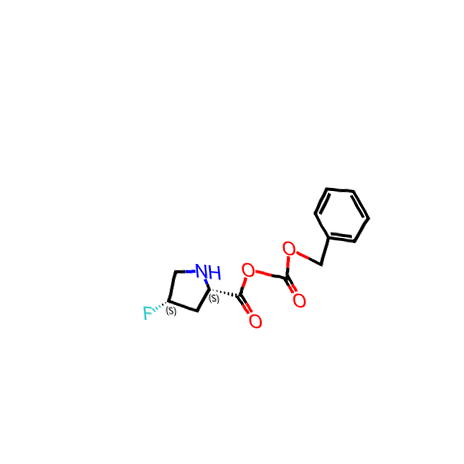 O=C(OCc1ccccc1)OC(=O)[C@@H]1C[C@H](F)CN1